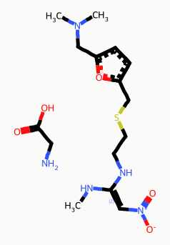 CN/C(=C/[N+](=O)[O-])NCCSCc1ccc(CN(C)C)o1.NCC(=O)O